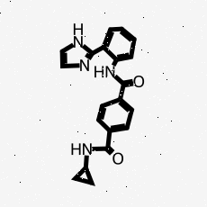 O=C(Nc1ccccc1-c1ncc[nH]1)c1ccc(C(=O)NC2CC2)cc1